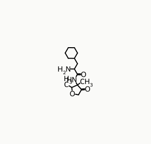 CC1OCC(=O)C1(C)NC(=O)C(N)CC1CCCCC1